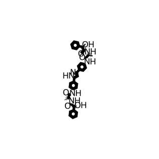 C[C@H](NC(=O)[C@H](O)c1ccccc1)C(=O)Nc1ccc(-c2cc(-c3ccc(NC(=O)[C@@H](C)NC(=O)[C@H](O)c4ccccc4)cc3)[nH]n2)cc1